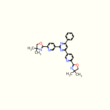 CC1(C)COC(c2ccc(-c3cc(-c4ccccc4)nc(-c4ccc(C5=NC(C)(C)CO5)nc4)n3)cn2)=N1